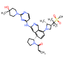 C=CC(=O)N1CCC[C@@H]1c1ccc(N2C[C@H](C(C)(C)S(C)(=O)=O)[C@H]2C)c2cnc(Nc3ccnc(N4CCC(C)(O)CC4)n3)cc12